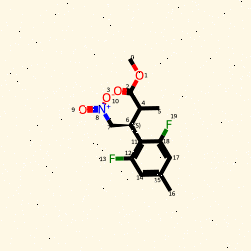 COC(=O)C(C)[C@H](C[N+](=O)[O-])c1c(F)cc(C)cc1F